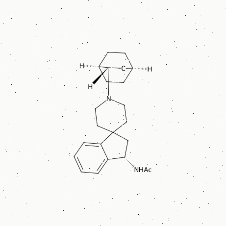 CC(=O)N[C@H]1CC2(CCN([C@H]3C[C@H]4CC[C@@H]3CC4)CC2)c2ccccc21